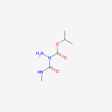 CNC(=O)N(N)C(=O)OC(C)C